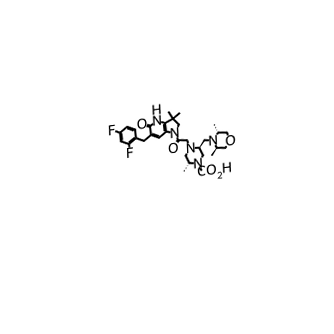 C[C@@H]1CN(CC(=O)N2CC(C)(C)c3[nH]c(=O)c(Cc4ccc(F)cc4F)cc32)[C@@H](CN2[C@H](C)COC[C@H]2C)CN1C(=O)O